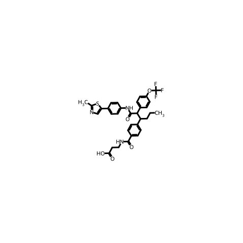 CCCC(c1ccc(C(=O)NCCC(=O)O)cc1)C(C(=O)Nc1ccc(-c2cnc(C)s2)cc1)c1ccc(OC(F)(F)F)cc1